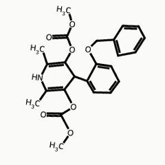 COC(=O)OC1=C(C)NC(C)=C(OC(=O)OC)C1c1ccccc1OCc1ccccc1